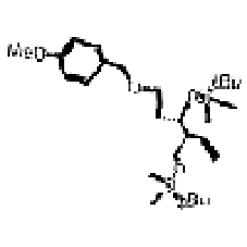 C=C[C@@H](CO[Si](C)(C)C(C)(C)C)[C@H](CCOCc1ccc(OC)cc1)O[Si](C)(C)C(C)(C)C